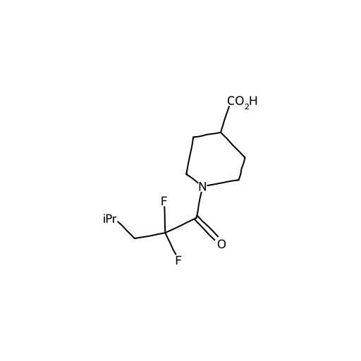 CC(C)CC(F)(F)C(=O)N1CCC(C(=O)O)CC1